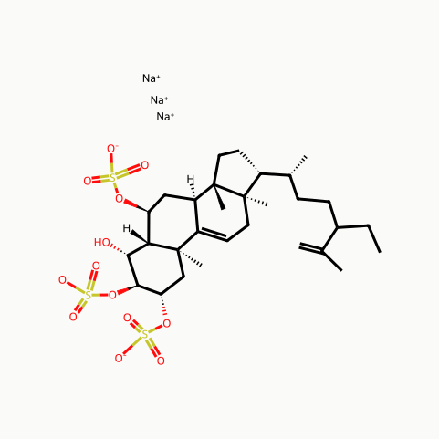 C=C(C)C(CC)CC[C@@H](C)[C@H]1CC[C@@]2(C)[C@@H]3C[C@H](OS(=O)(=O)[O-])[C@H]4[C@@H](O)[C@H](OS(=O)(=O)[O-])[C@@H](OS(=O)(=O)[O-])C[C@]4(C)C3=CC[C@]12C.[Na+].[Na+].[Na+]